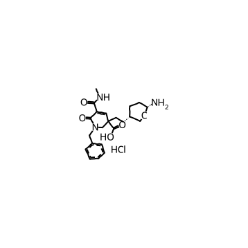 CNC(=O)C1=CC(CC[C@H]2CC[C@@H](N)CC2)(C(=O)O)CN(Cc2ccccc2)C1=O.Cl